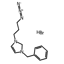 Br.[N-]=[N+]=NCCCN1C=CN(Cc2ccccc2)C1